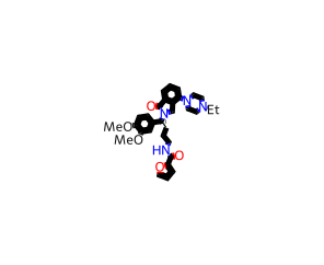 CCN1CCN(c2cccc3c2CN([C@H](CCCNC(=O)c2ccco2)c2ccc(OC)c(OC)c2)C3=O)CC1